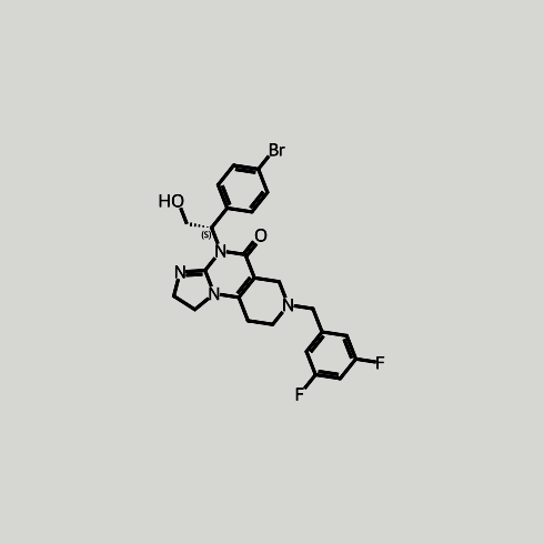 O=C1C2=C(CCN(Cc3cc(F)cc(F)c3)C2)N2CCN=C2N1[C@H](CO)c1ccc(Br)cc1